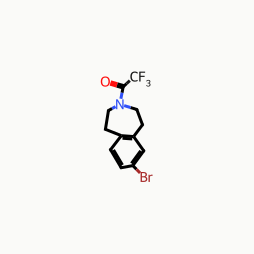 O=C(N1CCc2ccc(Br)cc2CC1)C(F)(F)F